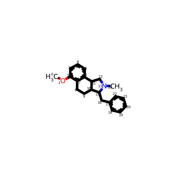 COc1cccc2c1CCC1C2CN(C)C1Cc1ccccc1